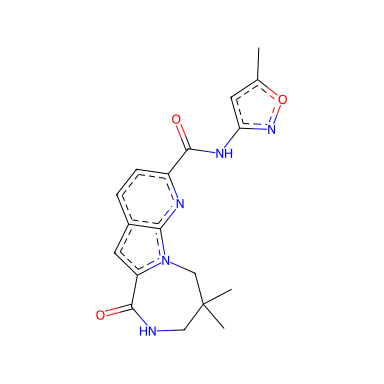 Cc1cc(NC(=O)c2ccc3cc4n(c3n2)CC(C)(C)CNC4=O)no1